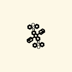 c1ccc2c(c1)Oc1ccccc1N2c1ccc2c(C34CC5CC(CC(C5)C3)C4)c3cc(N4c5ccccc5Oc5ccccc54)ccc3c(C34CC5CC(CC(C5)C3)C4)c2c1